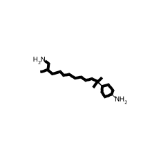 CC(CN)CCCCCCCCC(C)(C)[C@H]1CC[C@H](N)CC1